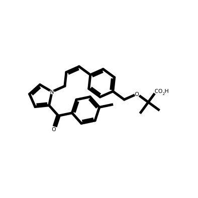 Cc1ccc(C(=O)c2cccn2C/C=C\c2ccc(COC(C)(C)C(=O)O)cc2)cc1